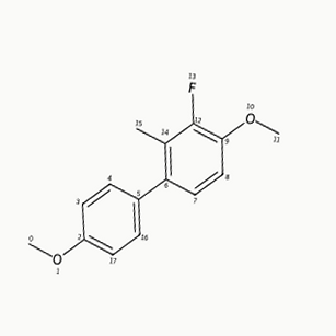 COc1ccc(-c2ccc(OC)c(F)c2C)cc1